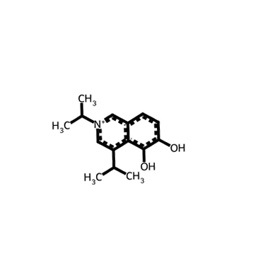 CC(C)c1c[n+](C(C)C)cc2ccc(O)c(O)c12